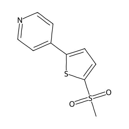 CS(=O)(=O)c1ccc(-c2ccncc2)s1